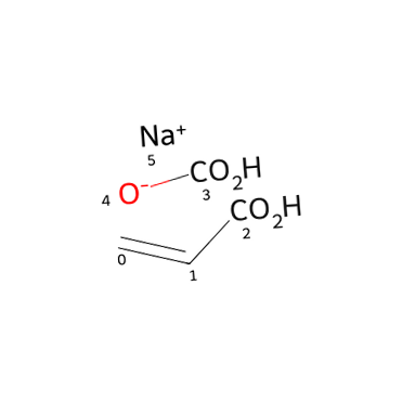 C=CC(=O)O.O=C([O-])O.[Na+]